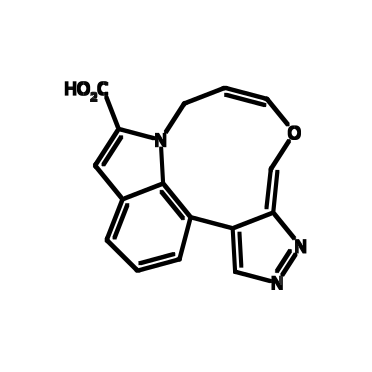 O=C(O)c1cc2cccc3c2n1C/C=C\O/C=C1\N=NC=C13